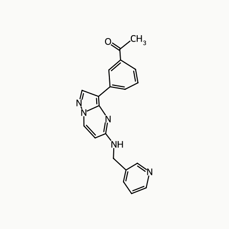 CC(=O)c1cccc(-c2cnn3ccc(NCc4cccnc4)nc23)c1